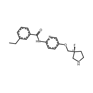 CCc1cccc(C(=O)Nc2ccc(OC[C@]3(F)CCNC3)cn2)c1